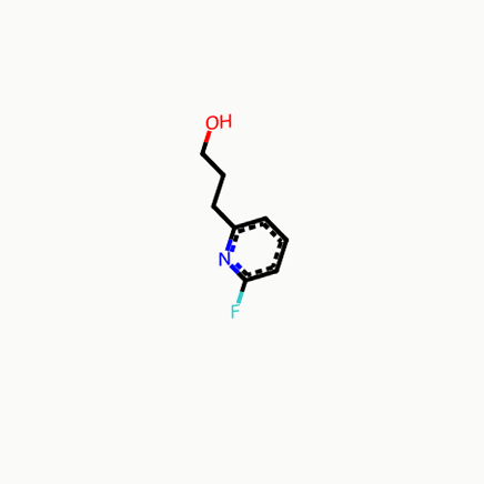 OCCCc1cccc(F)n1